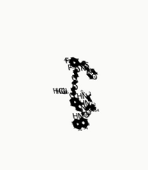 CN[C@@H](C)CN[C@H](C(=O)N1Cc2cc(OCCOCCOCCOc3c(-c4csc(N5CCOCC5)n4)ccc(F)c3F)ccc2C[C@H]1C(=O)N[C@@H]1CCCc2ccccc21)C(C)(C)C.Cl.Cl